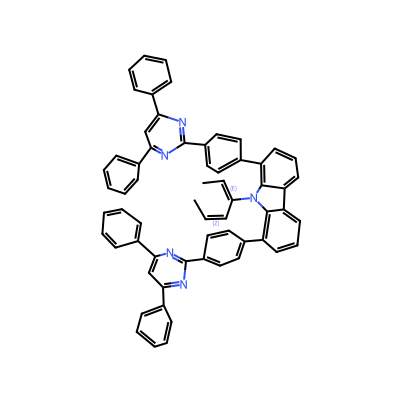 C/C=C\C(=C/C)n1c2c(-c3ccc(-c4nc(-c5ccccc5)cc(-c5ccccc5)n4)cc3)cccc2c2cccc(-c3ccc(-c4nc(-c5ccccc5)cc(-c5ccccc5)n4)cc3)c21